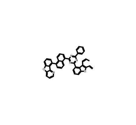 C=Cc1oc2cccc(-c3nc(-c4ccccc4)nc(-c4cccc5c(-c6cccc7oc8cccnc8c67)cccc45)n3)c2c1/C=C\C